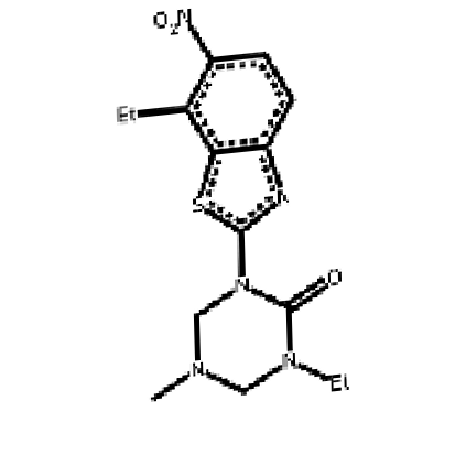 CCc1c([N+](=O)[O-])ccc2nc(N3CN(C)CN(CC)C3=O)sc12